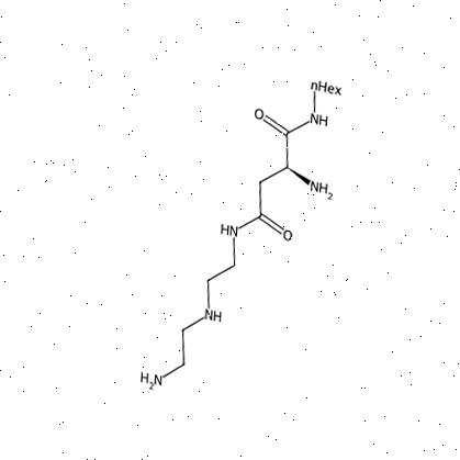 CCCCCCNC(=O)[C@@H](N)CC(=O)NCCNCCN